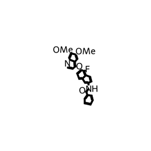 COc1cc2nccc(Oc3ccc4cc(NC(=O)c5ccccc5)ccc4c3F)c2cc1OC